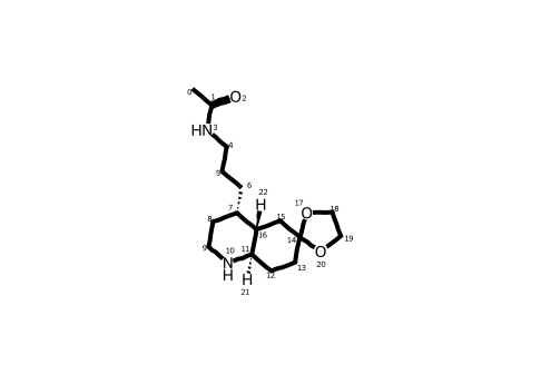 CC(=O)NCCC[C@H]1CCN[C@@H]2CCC3(C[C@@H]12)OCCO3